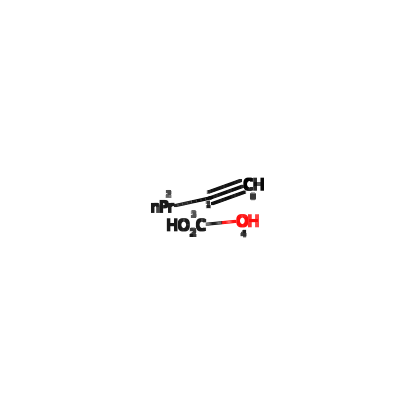 C#CCCC.O=C(O)O